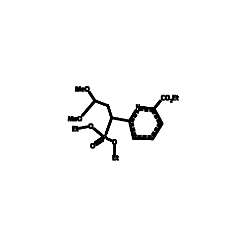 CCOC(=O)c1cccc(C(CC(OC)OC)P(=O)(OCC)OCC)n1